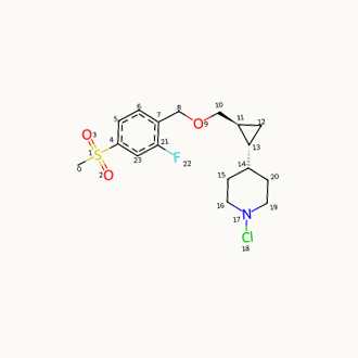 CS(=O)(=O)c1ccc(COC[C@H]2C[C@@H]2C2CCN(Cl)CC2)c(F)c1